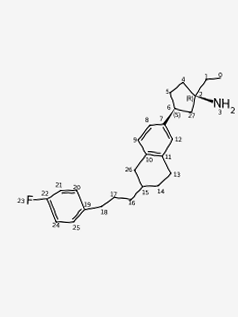 CC[C@@]1(N)CC[C@H](c2ccc3c(c2)CCC(CCCc2ccc(F)cc2)C3)C1